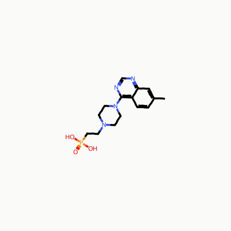 Cc1ccc2c(N3CCN(CCP(=O)(O)O)CC3)ncnc2c1